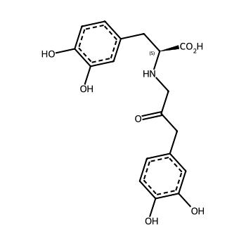 O=C(CN[C@@H](Cc1ccc(O)c(O)c1)C(=O)O)Cc1ccc(O)c(O)c1